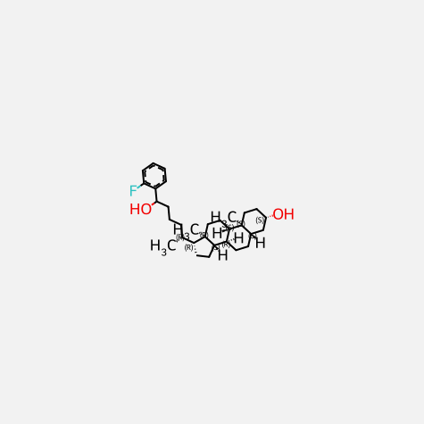 C[C@H](CCCC(O)c1ccccc1F)[C@H]1CC[C@H]2[C@@H]3CC[C@H]4C[C@@H](O)CC[C@]4(C)[C@H]3CC[C@]12C